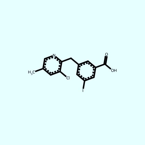 Cc1cnc(Cc2cc(I)cc(C(=O)O)c2)c(Cl)c1